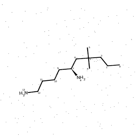 CCCC(C)(C)C[C@@H](N)CCCCN